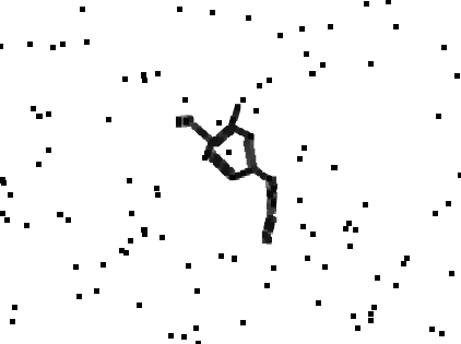 Cc1cc(N=C=S)ccc1O